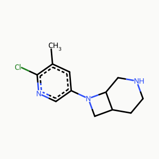 Cc1cc(N2CC3CCNCC32)cnc1Cl